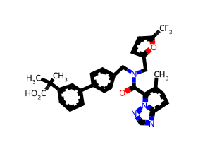 Cc1ccc2ncnn2c1C(=O)N(Cc1ccc(-c2cccc(C(C)(C)C(=O)O)c2)cc1)Cc1ccc(C(F)(F)F)o1